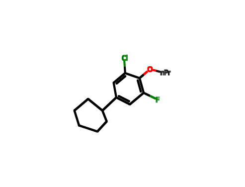 CCCOc1c(F)cc(C2CCCCC2)cc1Cl